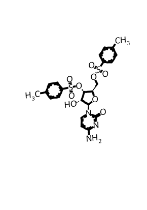 Cc1ccc(S(=O)(=O)OC[C@H]2O[C@@H](n3ccc(N)nc3=O)[C@H](O)[C@@H]2OS(=O)(=O)c2ccc(C)cc2)cc1